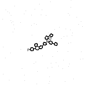 Fc1ccc(C2CCc3ccc(-c4ccc(N(c5ccc(-c6ccccc6)cc5)c5cccc6c5oc5ccccc56)cc4)cc3-c3ccccc32)cc1